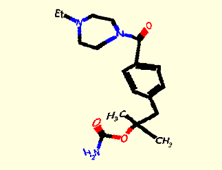 CCN1CCN(C(=O)c2ccc(CC(C)(C)OC(N)=O)cc2)CC1